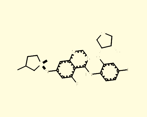 CC1CCS(=O)(=Nc2cc(F)c3c(Nc4ccc(F)cc4O[C@@H]4COC[C@@H]4O)ncnc3c2)C1